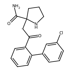 NC(=O)C1([CH]C(=O)c2ccccc2-c2cccc(Cl)c2)CCCN1